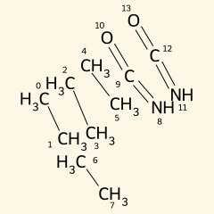 CC.CC.CC.CC.N=C=O.N=C=O